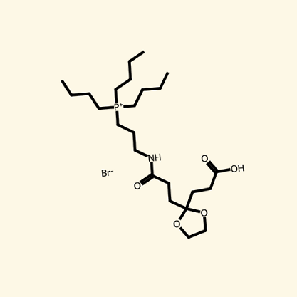 CCCC[P+](CCCC)(CCCC)CCCNC(=O)CCC1(CCC(=O)O)OCCO1.[Br-]